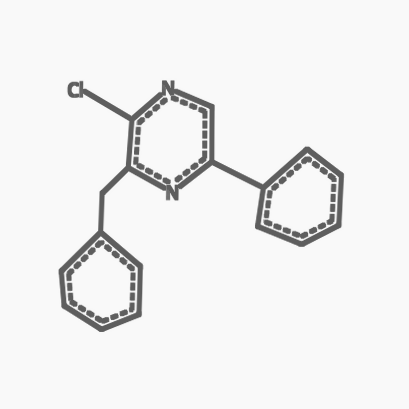 Clc1ncc(-c2ccccc2)nc1Cc1ccccc1